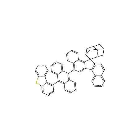 c1ccc2c3c(ccc2c1)C1(c2c-3cc(-c3c4ccccc4c(-c4cccc5sc6ccccc6c45)c4ccccc34)c3ccccc23)C2CC3CC(C2)CC1C3